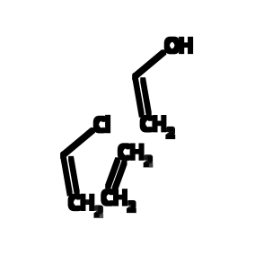 C=C.C=CCl.C=CO